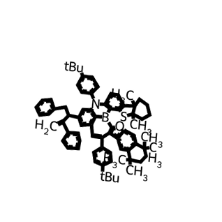 C=C(c1ccccc1)C(Cc1ccccc1)c1cc2c3c(c1)N(c1ccc(C(C)(C)C)cc1)c1ccc4c(c1B3c1oc3cc5c(cc3c1C(c1ccc(C(C)(C)C)cc1)=C2)C(C)(C)CCC5(C)C)SC1(C)CCCCC41C